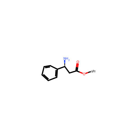 CCCOC(=O)C[C@H](N)c1ccccc1